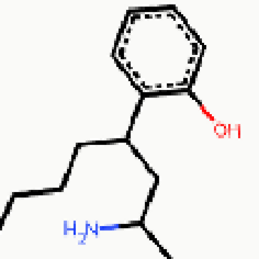 CCCCC(CC(C)N)c1ccccc1O